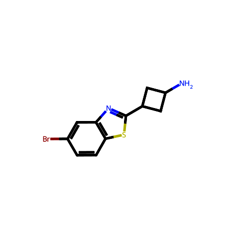 NC1CC(c2nc3cc(Br)ccc3s2)C1